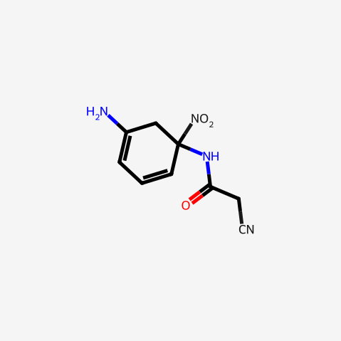 N#CCC(=O)NC1([N+](=O)[O-])C=CC=C(N)C1